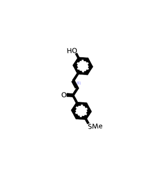 CSc1ccc(C(=O)/C=C/c2cccc(O)c2)cc1